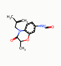 C=C(C)CN1C(=O)C(C)Oc2cc(NC=O)ccc21